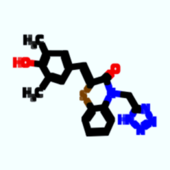 Cc1cc(C=C2Sc3ccccc3N(Cc3nnn[nH]3)C2=O)cc(C)c1O